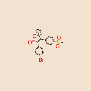 CCC1(C)OC(=O)C(c2ccc(Br)cc2)=C1c1ccc(S(C)(=O)=O)cc1